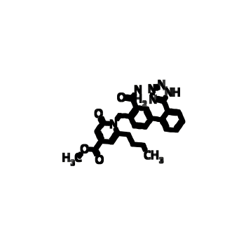 CCCCc1cc(C(=O)OC)cc(=O)n1Cc1ccc(-c2ccccc2-c2nnn[nH]2)cc1C(N)=O